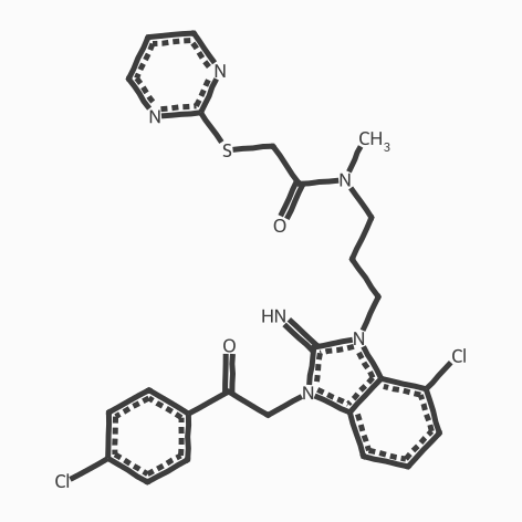 CN(CCCn1c(=N)n(CC(=O)c2ccc(Cl)cc2)c2cccc(Cl)c21)C(=O)CSc1ncccn1